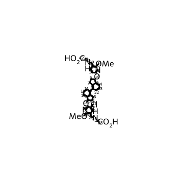 COc1nc(O[C@H]2CCc3c(-c4cccc5c4CC[C@@H]5Oc4nc(OC)c(CNCC(=O)O)cc4Cl)cccc32)ccc1CNCC(=O)O